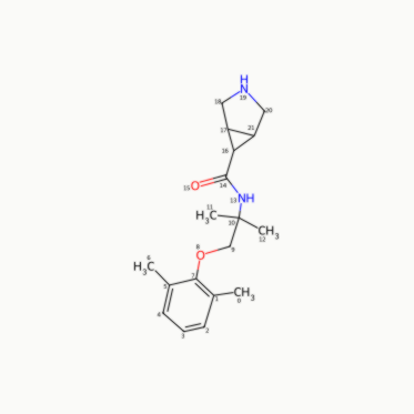 Cc1cccc(C)c1OCC(C)(C)NC(=O)C1C2CNCC21